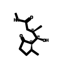 CNC(=O)C[C@@H](C)[C@@H](O)[C@H]1C(=O)CCC1C